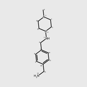 CN1CCN(NCc2ccc(CN)cc2)CC1